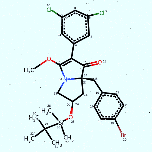 COC1=C(c2cc(Cl)cc(Cl)c2)C(=O)[C@]2(Cc3ccc(Br)cc3)C[C@@H](O[Si](C)(C)C(C)(C)C)CN12